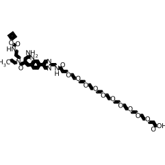 CCCN(CCCNC(=O)OC1CCC1)C(=O)C1=Cc2ccc(-c3cnc(CNC(=O)CCOCCOCCOCCOCCOCCOCCOCCOCCOCCOCCC(=O)O)nc3)cc2N=C(N)C1